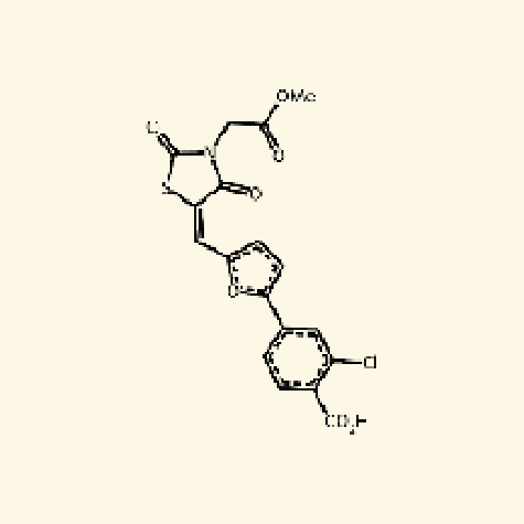 COC(=O)CN1C(=O)SC(=Cc2ccc(-c3ccc(C(=O)O)c(Cl)c3)o2)C1=O